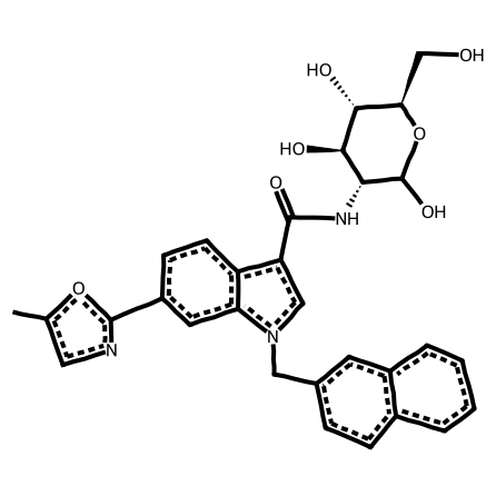 Cc1cnc(-c2ccc3c(C(=O)N[C@H]4C(O)O[C@H](CO)[C@@H](O)[C@@H]4O)cn(Cc4ccc5ccccc5c4)c3c2)o1